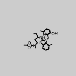 CCC(CCN(C)C1OC(C)O1)Nc1nc2cccc(C)c2n1Cc1nc(C)ccc1O